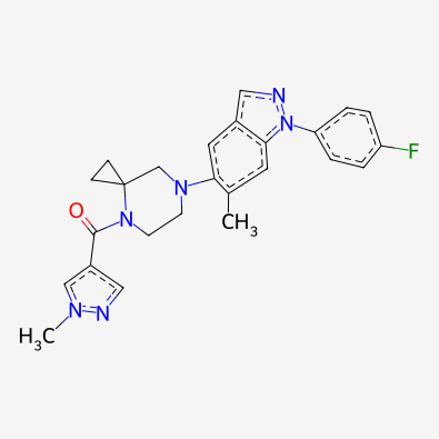 Cc1cc2c(cnn2-c2ccc(F)cc2)cc1N1CCN(C(=O)c2cnn(C)c2)C2(CC2)C1